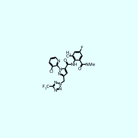 CNC(=O)c1cc(F)cc(C)c1NC(=O)c1cc(Cn2nnc(C(F)(F)F)n2)nn1-c1ncccc1Cl